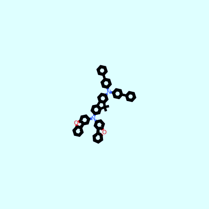 CC1(C)c2cc(N(c3ccc(-c4ccccc4)cc3)c3ccc(-c4ccccc4)cc3)ccc2-c2ccc(N(c3ccc4oc5ccccc5c4c3)c3ccc4oc5ccccc5c4c3)cc21